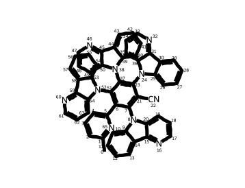 Cc1cccc(-c2c(-n3c4ccccc4c4ncccc43)c(C#N)c(-n3c4ccccc4c4ncccc43)c(-n3c4ccccc4c4ncccc43)c2-n2c3ccccc3c3ncccc32)n1